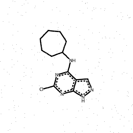 Clc1nc(NC2CCCCCC2)c2cn[nH]c2n1